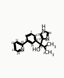 CC(C)C(O)(c1cccc(-c2ccccn2)c1)c1c[nH]cn1